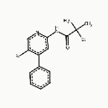 CCC(C)(C)C(=O)Nc1cc(-c2ccccc2)c(Br)cn1